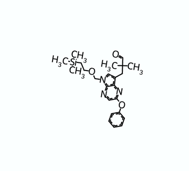 CC(C)(C=O)Cc1cn(COCC[Si](C)(C)C)c2ncc(Oc3ccccc3)nc12